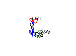 COc1cccc(F)c1-c1c(Cl)cc2c(N3CC4(CCN(C(=O)OC(C)(C)C)C4)C3)ncnc2c1F